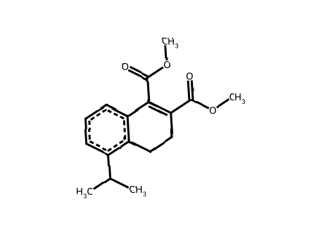 COC(=O)C1=C(C(=O)OC)c2cccc(C(C)C)c2CC1